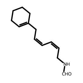 O=CNC/C=C\C=C/CC1=CCCCC1